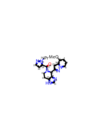 COc1cccn2nc(C3c4nc[nH]c4CCN3C(=O)c3ccnn3C(C)C)cc12